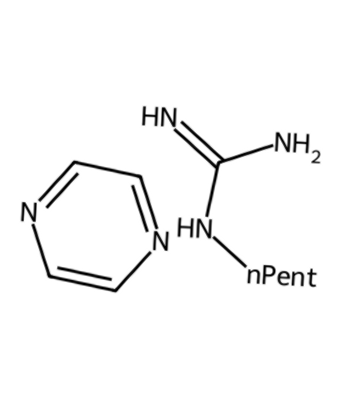 CCCCCNC(=N)N.c1cnccn1